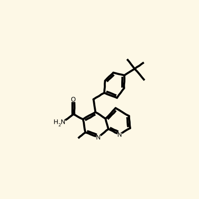 Cc1nc2ncccc2c(Cc2ccc(C(C)(C)C)cc2)c1C(N)=O